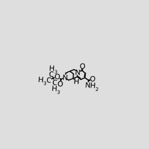 CC(C)(C)OC(=O)N1CC2C[C@@H](C1)c1cc(C(N)=O)cc(=O)n1C2